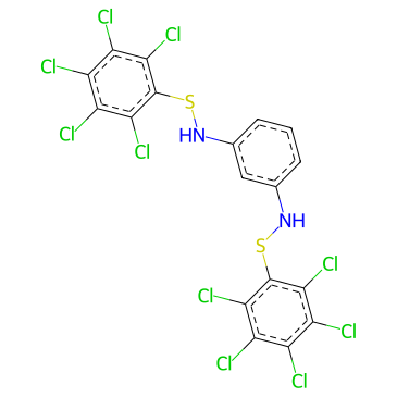 Clc1c(Cl)c(Cl)c(SNc2cccc(NSc3c(Cl)c(Cl)c(Cl)c(Cl)c3Cl)c2)c(Cl)c1Cl